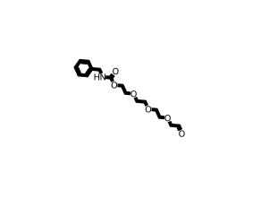 O=CCOCCOCCOCCOC(=O)NCc1ccccc1